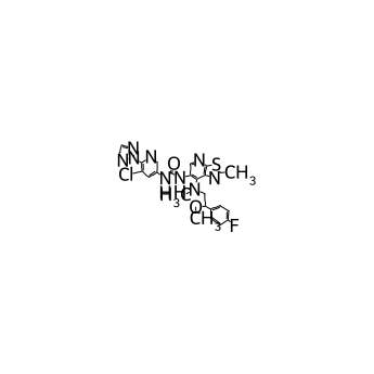 COC(CN(C)c1c(NC(=O)Nc2cnc(-n3nccn3)c(Cl)c2)cnc2sc(C)nc12)c1ccc(F)cc1